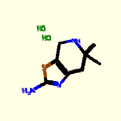 CC1(C)Cc2nc(N)sc2CN1.Cl.Cl